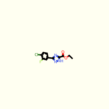 CCOC(=O)c1nc(-c2ccc(Cl)c(F)c2)n[nH]1